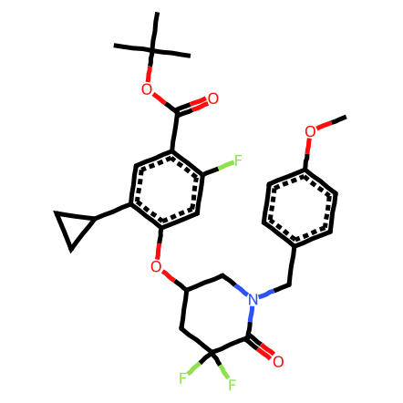 COc1ccc(CN2CC(Oc3cc(F)c(C(=O)OC(C)(C)C)cc3C3CC3)CC(F)(F)C2=O)cc1